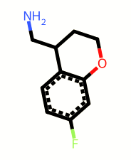 NCC1CCOc2cc(F)ccc21